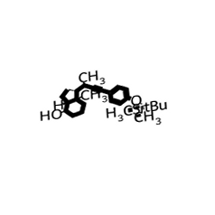 C[C@H](C#Cc1ccc(O[Si](C)(C)C(C)(C)C)cc1)[C@H]1CC[C@H]2[C@@H](O)CCC[C@]12C